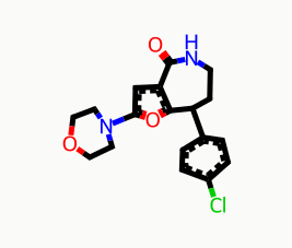 O=C1NCCC(c2ccc(Cl)cc2)c2oc(N3CCOCC3)cc21